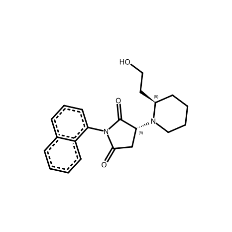 O=C1C[C@@H](N2CCCC[C@@H]2CCO)C(=O)N1c1cccc2ccccc12